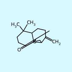 C=C1CCC2C(C)(C)CCCC23C(=O)OCC13